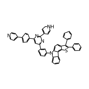 C1=CC(c2nc(-c3ccc(-c4ccncc4)cc3)cc(-c3cccc(-n4c5ccccc5c5c6sc(-c7ccccc7)c(-c7ccccc7)c6ccc54)c3)n2)=CCN1